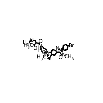 C/N=C\C(C(=O)NCCCN(c1cc2nn(-c3ccc(Br)cc3)c(C(=O)NC)c2cc1C1CC1)S(C)(=O)=O)C(C)O